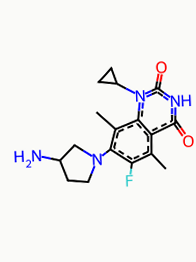 Cc1c(F)c(N2CCC(N)C2)c(C)c2c1c(=O)[nH]c(=O)n2C1CC1